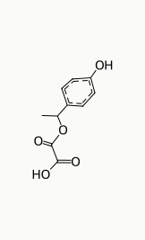 CC(OC(=O)C(=O)O)c1ccc(O)cc1